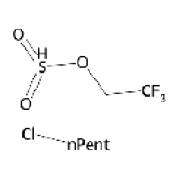 CCCCCCl.O=[SH](=O)OCC(F)(F)F